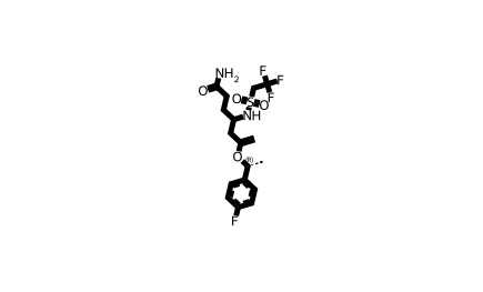 C=C(CC(CCC(N)=O)NS(=O)(=O)CC(F)(F)F)O[C@H](C)c1ccc(F)cc1